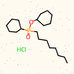 CCCCCCCCP(=O)(OC1CCCCC1)C1CCCCC1.Cl